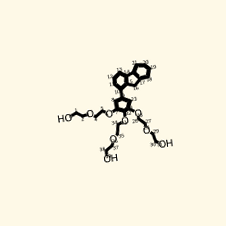 OCCOCCOc1cc(-c2cccc3c2Cc2ccccc2-3)cc(OCCOCCO)c1OCCOCCO